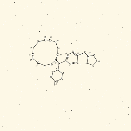 c1cc(C(C2CCNCC2)N2CCCCCCCCCCCC2)ccc1CN1CCCC1